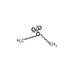 CCCCCCCCCc1cc(CCCCCCCCC)cc(N(c2ccccn2)c2ccccn2)c1